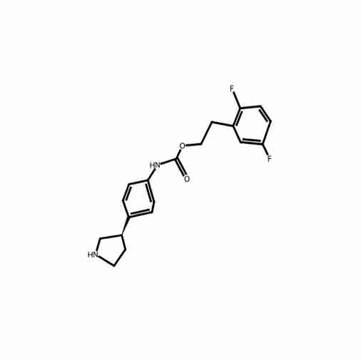 O=C(Nc1ccc([C@H]2CCNC2)cc1)OCCc1cc(F)ccc1F